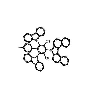 Cc1ccc(-c2c(-n3c4ccccc4c4ccccc43)c(C#N)c(-n3c4ccc5ccccc5c4c4c5ccccc5ccc43)c(C#N)c2-n2c3ccccc3c3ccccc32)cc1